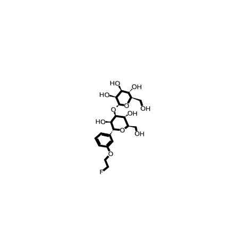 OC[C@H]1O[C@H](O[C@@H]2[C@H](O)[C@@H](c3cccc(OCCF)c3)O[C@H](CO)[C@H]2O)[C@@H](O)[C@@H](O)[C@@H]1O